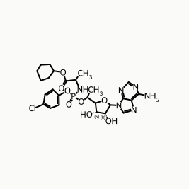 CC(NP(=O)(Oc1ccc(Cl)cc1)OC(C)C1OC(n2cnc3c(N)ncnc32)[C@H](O)[C@@H]1O)C(=O)OC1CCCCC1